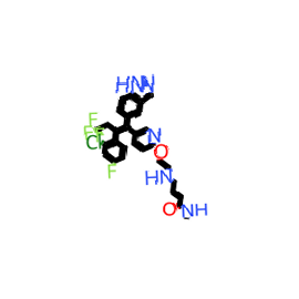 CNC(=O)/C=C/CNCCOc1ccc(/C(=C(/CC(F)(F)F)c2ccc(F)cc2Cl)c2ccc3[nH]ncc3c2)cn1